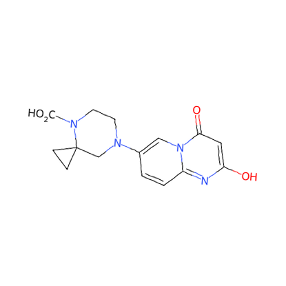 O=C(O)N1CCN(c2ccc3nc(O)cc(=O)n3c2)CC12CC2